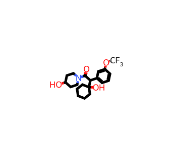 O=C(C(c1cccc(OC(F)(F)F)c1)C1(O)CCCCC1)N1CCC(O)CC1